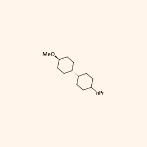 CCCC1CCC([C@H]2CC[C@H](OC)CC2)CC1